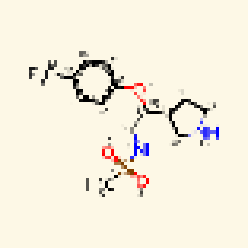 CS(=O)(=O)NC[C@H](Oc1ccc(C(F)(F)F)cc1)C1CCNC1